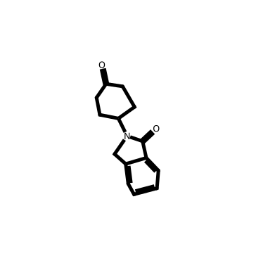 O=C1CCC(N2Cc3ccccc3C2=O)CC1